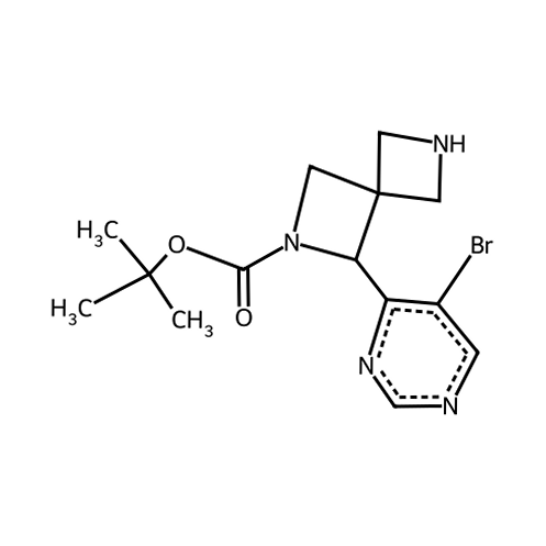 CC(C)(C)OC(=O)N1CC2(CNC2)C1c1ncncc1Br